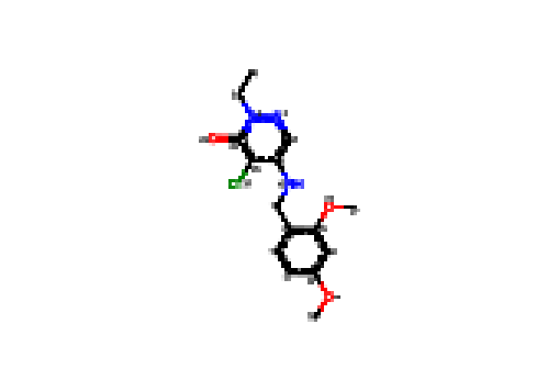 CCn1ncc(NCc2ccc(OC)cc2OC)c(Cl)c1=O